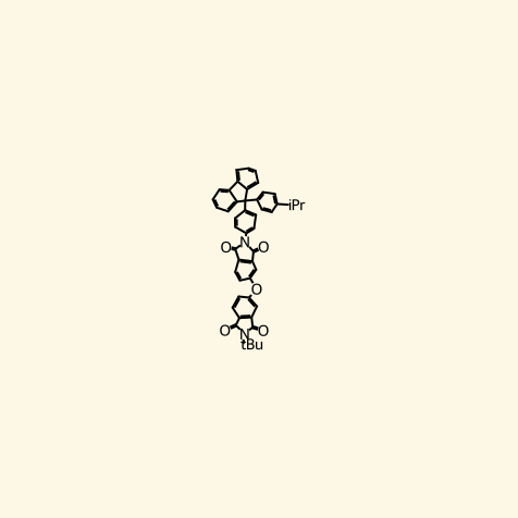 CC(C)c1ccc(C2(c3ccc(N4C(=O)c5ccc(Oc6ccc7c(c6)C(=O)N(C(C)(C)C)C7=O)cc5C4=O)cc3)c3ccccc3-c3ccccc32)cc1